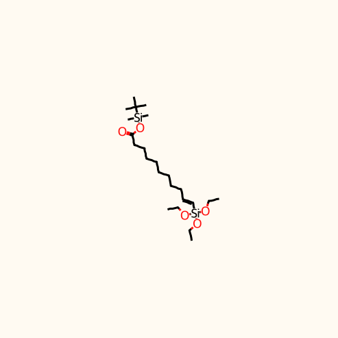 CCO[Si](C=CCCCCCCCCC(=O)O[Si](C)(C)C(C)(C)C)(OCC)OCC